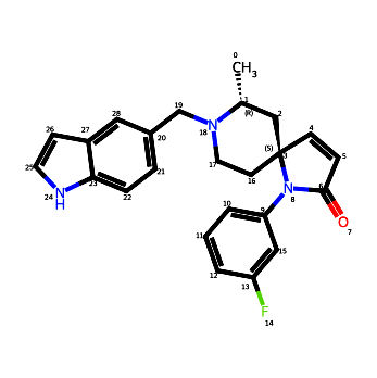 C[C@@H]1C[C@]2(C=CC(=O)N2c2cccc(F)c2)CCN1Cc1ccc2[nH]ccc2c1